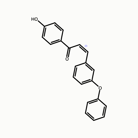 O=C(/C=C\c1cccc(Oc2ccccc2)c1)c1ccc(O)cc1